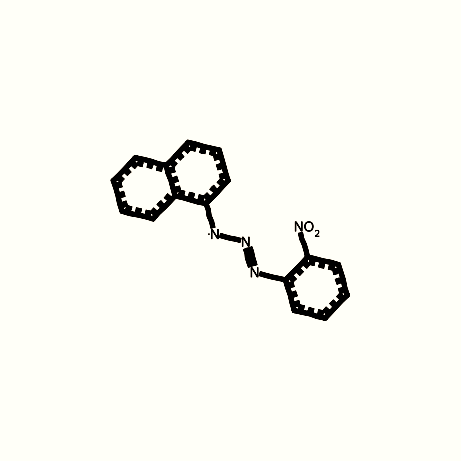 O=[N+]([O-])c1ccccc1N=N[N]c1cccc2ccccc12